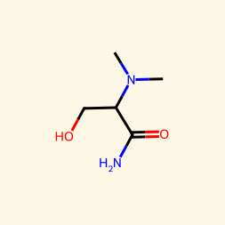 CN(C)C(CO)C(N)=O